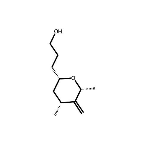 C=C1[C@H](C)C[C@H](CCCO)O[C@@H]1C